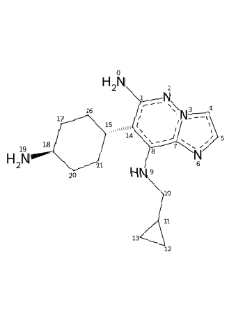 Nc1nn2ccnc2c(NCC2CC2)c1[C@H]1CC[C@H](N)CC1